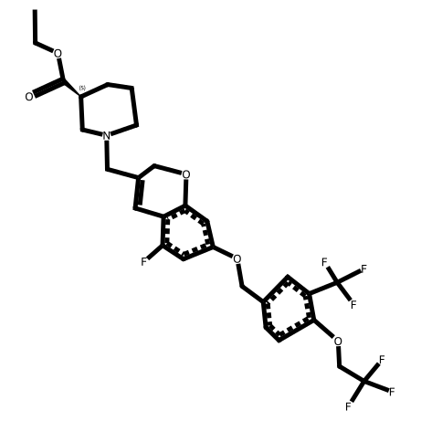 CCOC(=O)[C@H]1CCCN(CC2=Cc3c(F)cc(OCc4ccc(OCC(F)(F)F)c(C(F)(F)F)c4)cc3OC2)C1